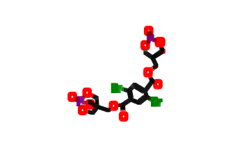 O=C(OCC12COP(=O)(OC1)OC2)c1cc(Br)c(C(=O)OCC23COP(=O)(OC2)OC3)cc1Br